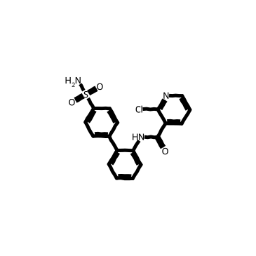 NS(=O)(=O)c1ccc(-c2ccccc2NC(=O)c2cccnc2Cl)cc1